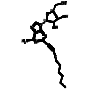 CCCCCCCC#Cc1nc(N)c2ncn([C@@H]3O[C@H](CO)C(O)C3O)c2n1